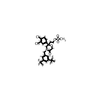 CS(=O)(=O)OCCC1(c2ccc(Cl)c(Cl)c2)CN(Cc2cc(C(F)(F)F)cc(C(F)(F)F)c2)C(=O)CO1